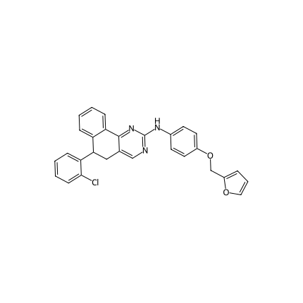 Clc1ccccc1C1Cc2cnc(Nc3ccc(OCc4ccco4)cc3)nc2-c2ccccc21